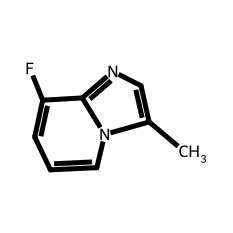 Cc1cnc2c(F)cccn12